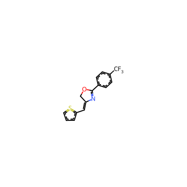 FC(F)(F)c1ccc(C2=NC(=Cc3cccs3)CO2)cc1